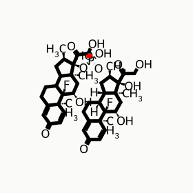 C[C@@H]1CC2C3CCC4=CC(=O)C=C[C@]4(C)[C@@]3(F)[C@@H](O)C[C@]2(C)[C@@]1(OP(=O)(O)O)C(=O)CO.C[C@@H]1C[C@H]2[C@@H]3CCC4=CC(=O)C=C[C@]4(C)[C@@]3(F)[C@@H](O)C[C@]2(C)[C@@]1(O)C(=O)CO